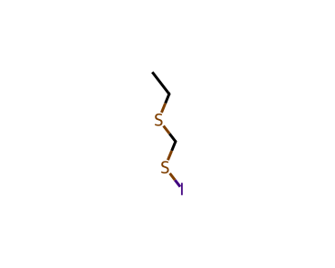 CCSCSI